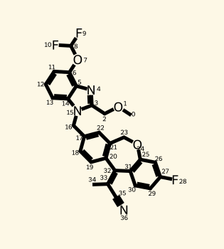 COCc1nc2c(OC(F)F)cccc2n1Cc1ccc2c(c1)COc1cc(F)ccc1/C2=C(/C)C#N